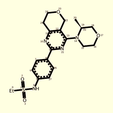 CCS(=O)(=O)Nc1ccc(-c2nc3c(c(N4CCOC[C@@H]4C)n2)COCC3)cc1